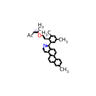 CC(=O)/C=C(/C)OC=Cc1c(C)cc(C)cc1-c1nccc2c1ccc1c3ccc(C)cc3ccc21